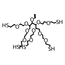 C=COC(C(COCCOCCS)OCCOCCS)C(OCCOCCS)C(COCCOCCS)OCCOCCS